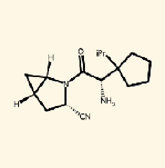 CC(C)C1([C@H](N)C(=O)N2[C@H](C#N)C[C@@H]3C[C@@H]32)CCCC1